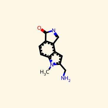 Cn1c(CN)cc2c3c(ccc21)C(=O)N=C3